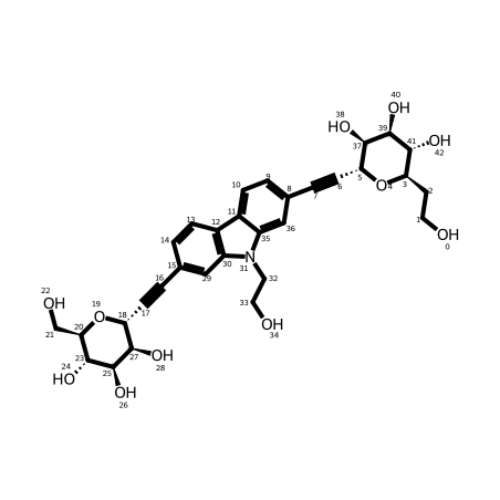 OCC[C@H]1O[C@H](C#Cc2ccc3c4ccc(C#C[C@H]5O[C@H](CO)[C@@H](O)[C@H](O)[C@@H]5O)cc4n(CCO)c3c2)[C@@H](O)[C@@H](O)[C@@H]1O